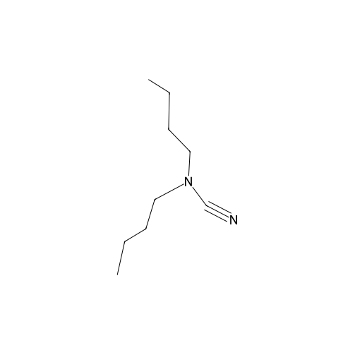 CCCCN(C#N)CCCC